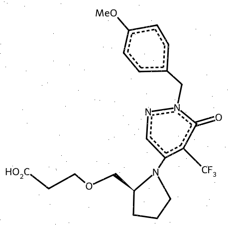 COc1ccc(Cn2ncc(N3CCC[C@H]3COCCC(=O)O)c(C(F)(F)F)c2=O)cc1